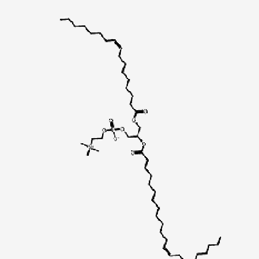 CCCCC/C=C\C/C=C\CCCCCCCCCCCC(=O)O[C@H](COC(=O)CCCCCCC/C=C\CCCCCCC)COP(=O)([O-])OCC[N+](C)(C)C